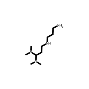 CN(C)C(CCNCCCN)N(C)C